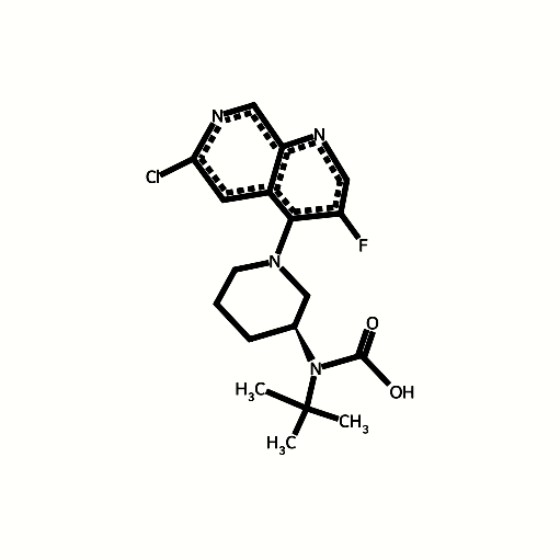 CC(C)(C)N(C(=O)O)[C@H]1CCCN(c2c(F)cnc3cnc(Cl)cc23)C1